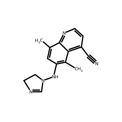 Cc1cc(NN2C=NCC2)c(C)c2c(C#N)ccnc12